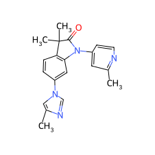 Cc1cc(N2C(=O)C(C)(C)c3ccc(-n4cnc(C)c4)cc32)ccn1